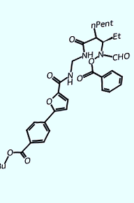 CCCCCC(C(=O)NCNC(=O)c1ccc(-c2ccc(C(=O)OC(C)(C)C)cc2)o1)[C@@H](CC)N(C=O)OC(=O)c1ccccc1